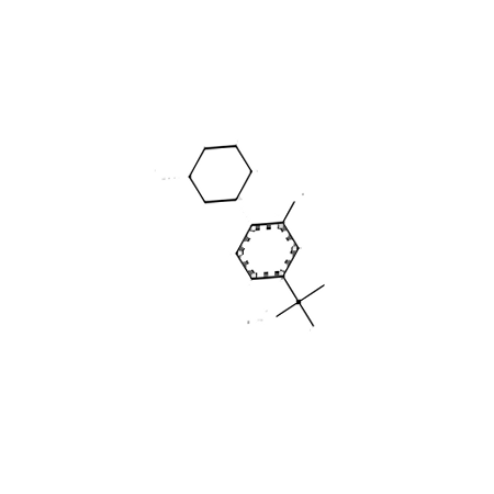 CCCCCC(C)(C)c1ccc([C@H]2CCC[C@@H](O)C2)c(O)c1